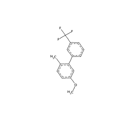 COc1ccc(C)c(-c2cccc(C(F)(F)F)c2)c1